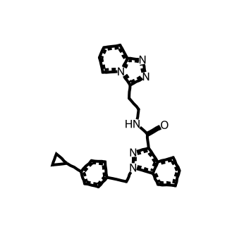 O=C(NCCc1nnc2ccccn12)c1nn(Cc2ccc(C3CC3)cc2)c2ccccc12